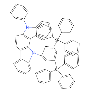 c1ccc(-n2c3ccccc3c3c2ccc2c4ccccc4n(-c4cc([Si](c5ccccc5)(c5ccccc5)c5ccccc5)cc([Si](c5ccccc5)(c5ccccc5)c5ccccc5)c4)c23)cc1